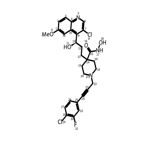 COc1ccc2ncc(Cl)c([C@H](O)CCC3(C(=O)NO)CCN(CC#Cc4ccc(Cl)c(F)c4)CC3)c2c1